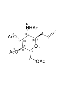 C=CC[C@H]1OC(COC(C)=O)[C@@H](OC(C)=O)[C@H](OC(C)=O)C1NC(C)=O